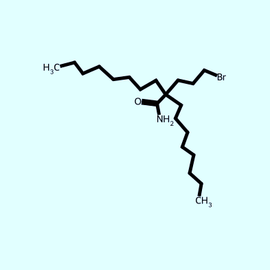 CCCCCCCCC(CCCBr)(CCCCCCCC)C(N)=O